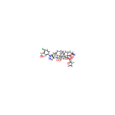 C[C@]12Cc3cnn(-c4ccc(F)c(CO)c4)c3C=C1CC[C@@H]1[C@@H]2[C@@H](O)C[C@@]2(C)[C@H]1CC(CC#N)[C@]2(OC(=O)c1ccco1)C(=O)O